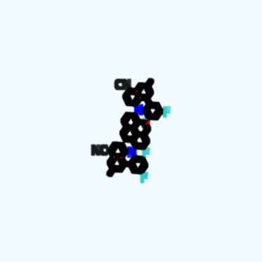 [C-]#[N+]c1ccc(N(c2c(F)cc(F)cc2-c2cccc(C)c2)c2ccc3ccc4c(N(c5ccc(C#N)cc5)c5c(F)cc(F)cc5-c5cccc(C)c5)ccc5ccc2c3c54)cc1